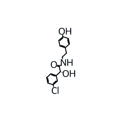 O=C(NCCc1ccc(O)cc1)[C@H](O)c1cccc(Cl)c1